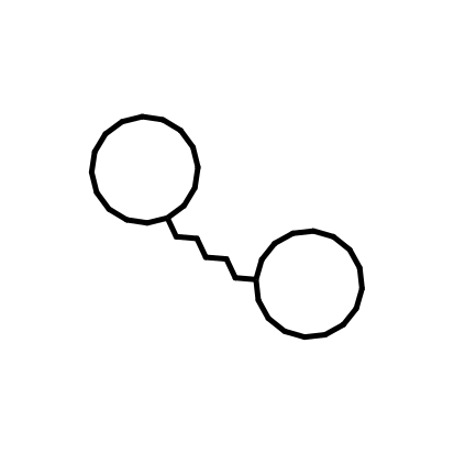 C1CCCCCCCC(CCCCCC2CCCCCCCCCCCCCCC2)CCCCCCC1